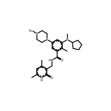 CC(=O)N1CCN(c2cc(C(=O)NCc3c(C)cc(C)[nH]c3=O)c(C)c(N(C)C3CCCC3)c2)CC1